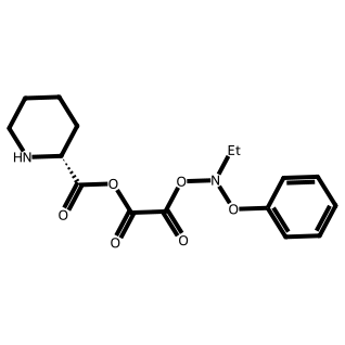 CCN(OC(=O)C(=O)OC(=O)[C@H]1CCCCN1)Oc1ccccc1